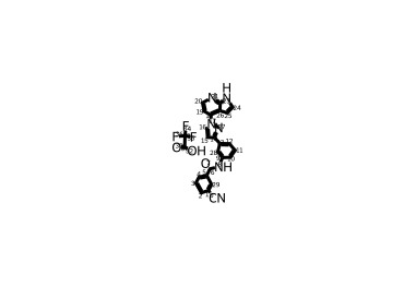 N#Cc1cccc(C(=O)Nc2cccc(-c3ccn(-c4ccnc5[nH]ccc45)n3)c2)c1.O=C(O)C(F)(F)F